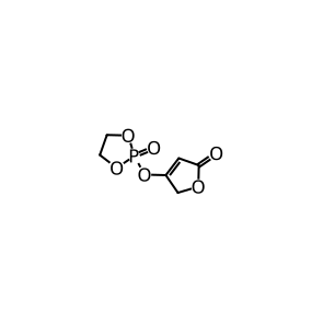 O=C1C=C(OP2(=O)OCCO2)CO1